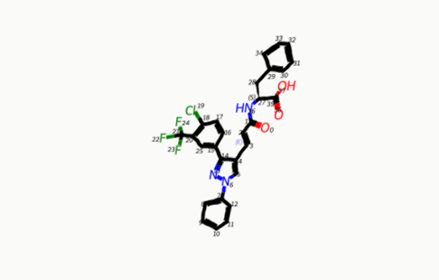 O=C(/C=C/c1cn(-c2ccccc2)nc1-c1ccc(Cl)c(C(F)(F)F)c1)N[C@@H](Cc1ccccc1)C(=O)O